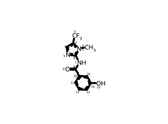 Cn1c(C(F)(F)F)cnc1NC(=O)c1cccc(O)c1